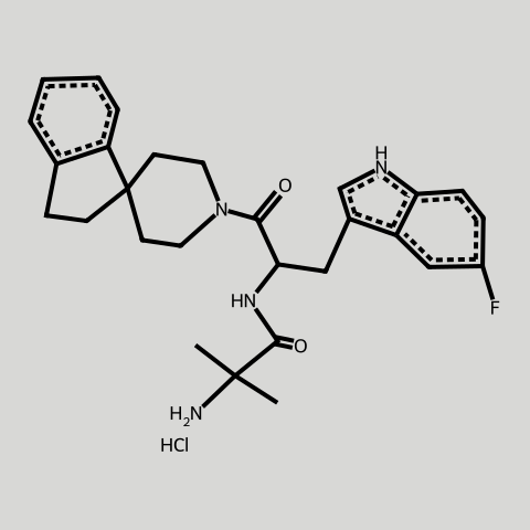 CC(C)(N)C(=O)NC(Cc1c[nH]c2ccc(F)cc12)C(=O)N1CCC2(CCc3ccccc32)CC1.Cl